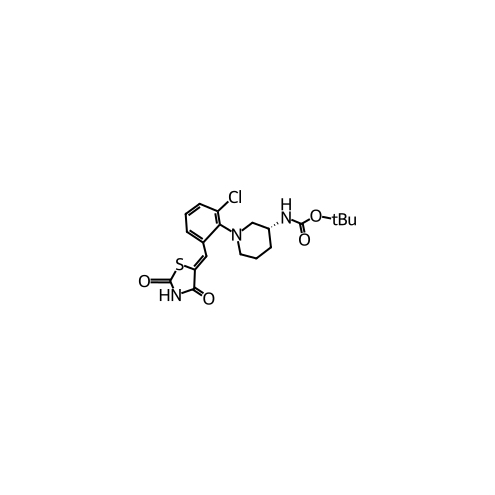 CC(C)(C)OC(=O)N[C@@H]1CCCN(c2c(Cl)cccc2/C=C2\SC(=O)NC2=O)C1